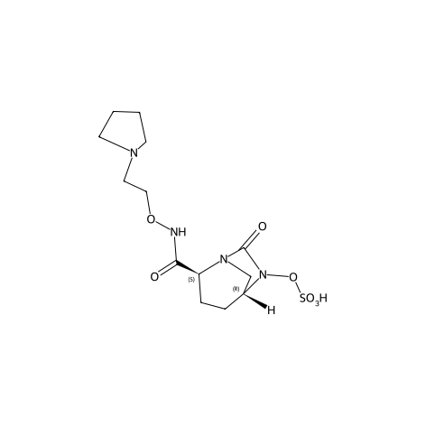 O=C(NOCCN1CCCC1)[C@@H]1CC[C@@H]2CN1C(=O)N2OS(=O)(=O)O